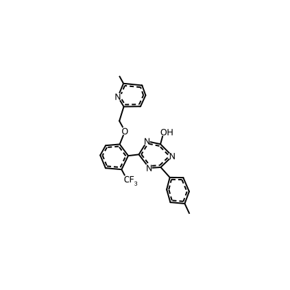 Cc1ccc(-c2nc(O)nc(-c3c(OCc4cccc(C)n4)cccc3C(F)(F)F)n2)cc1